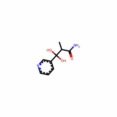 CC(C(N)=O)C(O)(O)c1cccnc1